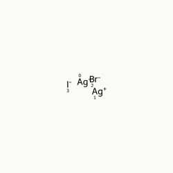 [Ag+].[Ag+].[Br-].[I-]